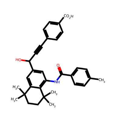 Cc1ccc(C(=O)Nc2cc(C(O)C#Cc3ccc(C(=O)O)cc3)cc3c2C(C)(C)CCC3(C)C)cc1